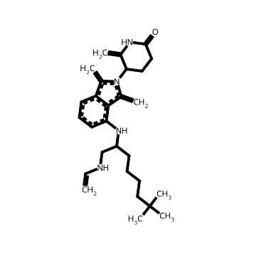 C=CNCC(CCCCC(C)(C)C)Nc1cccc2c(=C)n(C3CCC(=O)NC3=C)c(=C)c12